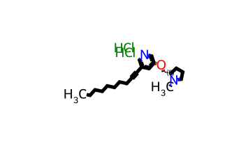 CCCCCCCCC#Cc1cncc(OC[C@@H]2CCCN2C)c1.Cl.Cl